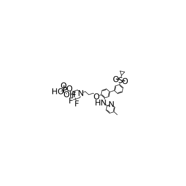 Cc1ccc(Nc2cc(-c3cccc(S(=O)(=O)C4CC4)c3)ccc2OCCCN(CCOP(=O)(O)O)CC(F)(F)F)nc1